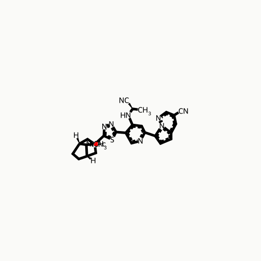 CC(=O)N[C@]1(C)[C@@H]2CC[C@H]1CN(c1nnc(-c3cnc(-c4ccc5cc(C#N)cnn45)cc3N[C@H](C)C#N)s1)C2